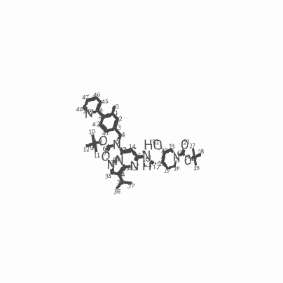 Cc1cc(CN(C(=O)OC(C)(C)C)c2cc(NC[C@H]3CCN(C(=O)OC(C)(C)C)C[C@@H]3O)nc3c(C(C)C)cnn23)ccc1-c1ccccn1